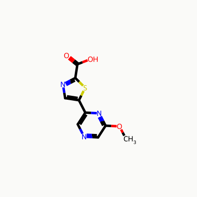 COc1cncc(-c2cnc(C(=O)O)s2)n1